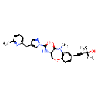 Cc1cccc(Cc2cnn(C(=O)N[C@H]3COc4ccc(C#CC(C)(C)O)cc4N(C)C3=O)c2)n1